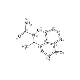 CC(c1c[nH]c(=O)c2ncccc12)N(C)C(N)=O